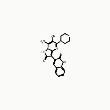 N#Cc1c(N2CCSCC2)nc2c(-c3cc4ccccc4[nH]c3=O)c(=O)[nH]n2c1N